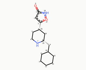 O=c1cc([C@H]2CCN[C@@H](CC3CCCCC3)C2)o[nH]1